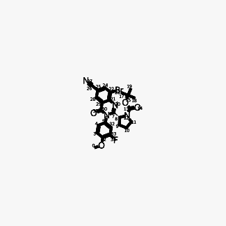 COc1ccc(-n2c([C@H]3CCCN3C(=O)OC(C)(C)C)nc3c(Br)cc(C#N)cc3c2=O)cc1F